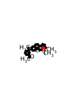 CC(=O)c1cccc(N(C)C2CCC3(C)C(=CCC4C3CCC35CN(C)C(C)C3CCC45)C2)c1